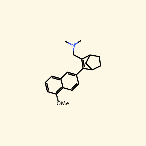 COc1cccc2cc(C3=C(CN(C)C)C4CCC3C4)ccc12